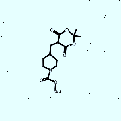 CC(C)(C)OC(=O)N1CCC(CC2C(=O)OC(C)(C)OC2=O)CC1